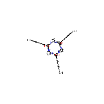 C#CC#CC#CC#CC#CC#Cc1cc2c(O)c(c1)/C=N/C1CCCCC1/N=C/c1cc(C#CC#CC#CC#CC#CC#C)cc(c1O)/C=N/C1CCCCC1/N=C/c1cc(C#CC#CC#CC#CC#CC#C)cc(c1O)/C=N/C1CCCCC1/N=C/2